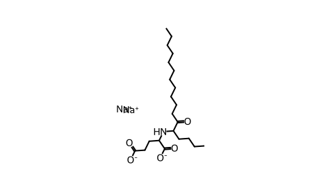 CCCCCCCCCCCC(=O)C(CCCC)NC(CCC(=O)[O-])C(=O)[O-].[Na+].[Na+]